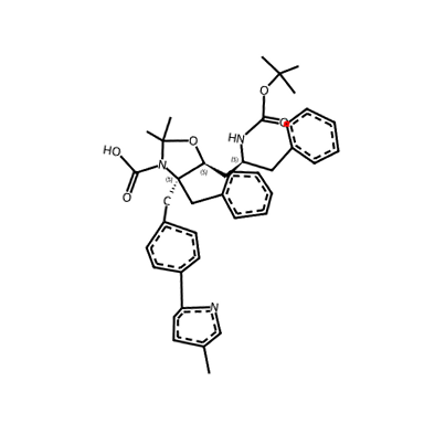 Cc1ccc(-c2ccc(C[C@@]3(Cc4ccccc4)[C@H](C[C@H](Cc4ccccc4)NC(=O)OC(C)(C)C)OC(C)(C)N3C(=O)O)cc2)nc1